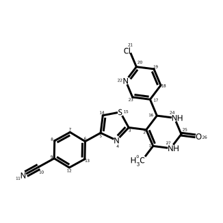 CC1=C(c2nc(-c3ccc(C#N)cc3)cs2)C(c2ccc(Cl)nc2)NC(=O)N1